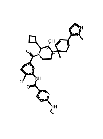 CC(C)Nc1ccc(C(=O)Nc2cc(C(=O)N3CC[C@H](C4(C)C=CC(c5ccnn5C)=CC4)[C@@H](O)C3C3CCC3)ccc2Cl)cn1